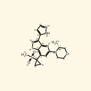 C[C@@H]1COCCN1c1cc(C2(S(C)(=O)=O)CC2)c2snc(-c3ccn[nH]3)c2n1